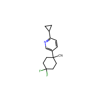 N#CC1(c2ccc(C3CC3)nc2)CCC(F)(F)CC1